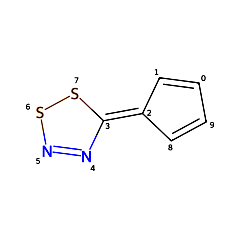 C1=CC(=C2N=NSS2)C=C1